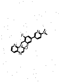 CN(C)c1ccc(-c2cc(F)c(Cn3c(=O)cnc4cccnc43)c(F)c2)cn1